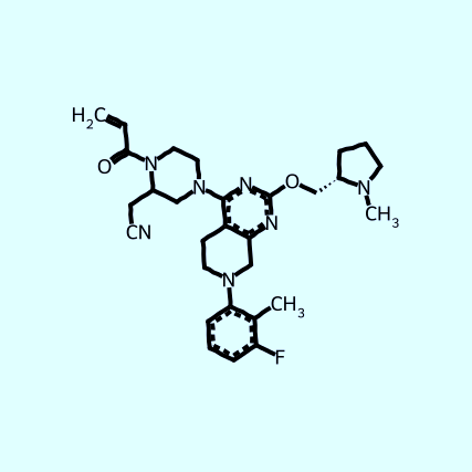 C=CC(=O)N1CCN(c2nc(OC[C@@H]3CCCN3C)nc3c2CCN(c2cccc(F)c2C)C3)CC1CC#N